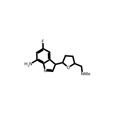 CNCC1CCC(C2C=Nc3c(N)cc(F)cc32)O1